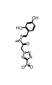 CN(/N=C/c1ccc(O)cc1O)C(=O)Cn1nnc([N+](=O)[O-])n1